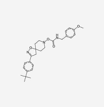 COc1ccc(CNC(=O)ON2CCC3(CC2)CC(c2ccc(C(C)(C)C)cc2)=NO3)cc1